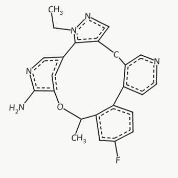 CCn1ncc2c1-c1cnc(N)c(c1)OC(C)c1cc(F)ccc1-c1ccncc1C2